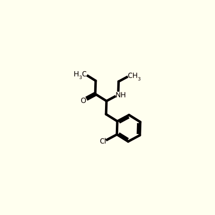 CCNC(Cc1ccccc1Cl)C(=O)CC